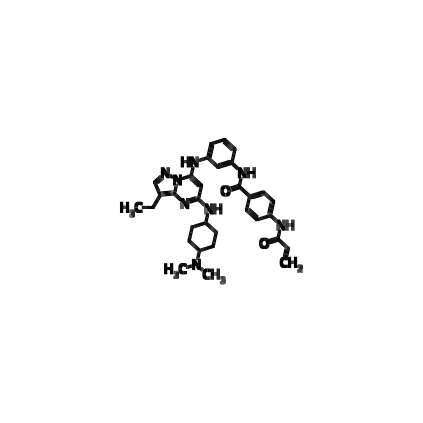 C=CC(=O)Nc1ccc(C(=O)Nc2cccc(Nc3cc(NC4CCC(N(C)C)CC4)nc4c(CC)cnn34)c2)cc1